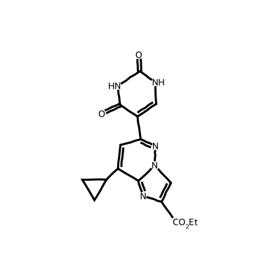 CCOC(=O)c1cn2nc(-c3c[nH]c(=O)[nH]c3=O)cc(C3CC3)c2n1